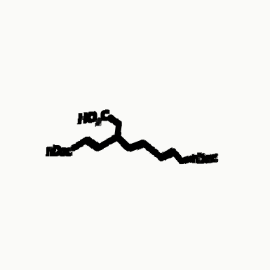 CCCCCCCCCCCCCCCC(CCCCCCCCCCCC)CC(=O)O